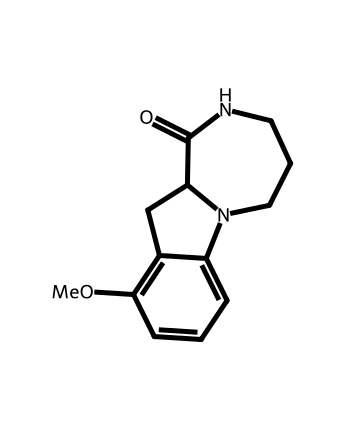 COc1cccc2c1CC1C(=O)NCCCN21